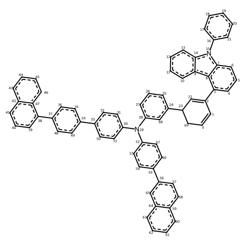 C1=CC(c2cccc3c2c2ccccc2n3-c2ccccc2)=CC(c2cccc(N(c3ccc(-c4ccc(-c5cccc6ccccc56)cc4)cc3)c3ccc(-c4ccc5ccccc5c4)cc3)c2)C1